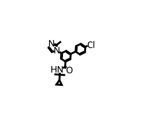 Cc1nccn1-c1cc(C(=O)NC(C)(C)C2CC2)cc(-c2ccc(Cl)cc2)c1